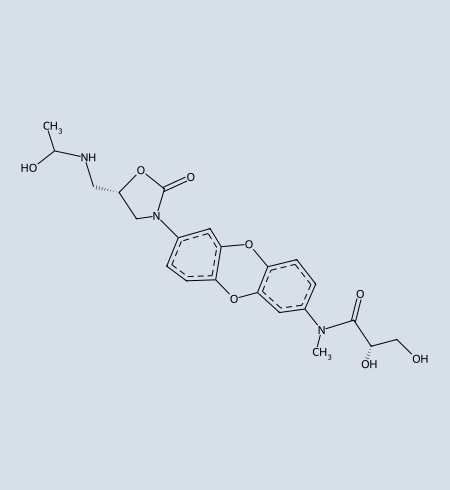 CC(O)NC[C@H]1CN(c2ccc3c(c2)Oc2ccc(N(C)C(=O)[C@@H](O)CO)cc2O3)C(=O)O1